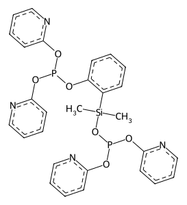 C[Si](C)(OP(Oc1ccccn1)Oc1ccccn1)c1ccccc1OP(Oc1ccccn1)Oc1ccccn1